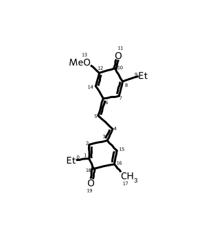 CCC1=C/C(=C\C=C2/C=C(CC)C(=O)C(OC)=C2)C=C(C)C1=O